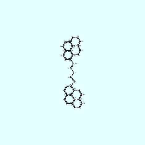 c1cc2ccc3ccc(N=NSN=Nc4ccc5ccc6cccc7ccc4c5c67)c4ccc(c1)c2c34